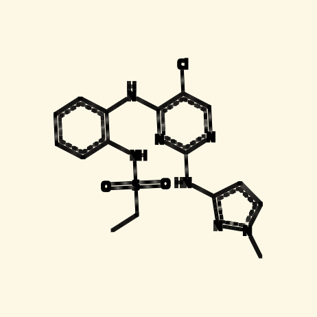 CCS(=O)(=O)Nc1ccccc1Nc1nc(Nc2ccn(C)n2)ncc1Cl